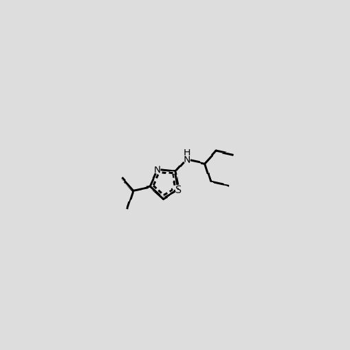 CCC(CC)Nc1nc(C(C)C)cs1